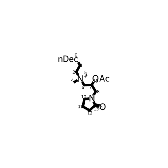 CCCCCCCCCCCC[N+](C)(C)CC(CN1CCCC1=O)OC(C)=O